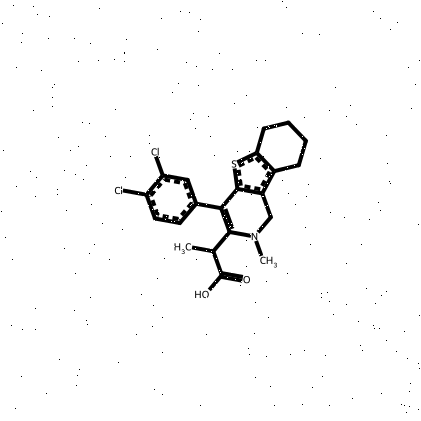 CC(C(=O)O)C1=C(c2ccc(Cl)c(Cl)c2)c2sc3c(c2CN1C)CCCC3